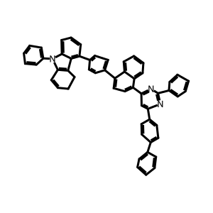 C1=Cc2c(c3c(-c4ccc(-c5ccc(-c6cc(-c7ccc(-c8ccccc8)cc7)nc(-c7ccccc7)n6)c6ccccc56)cc4)cccc3n2-c2ccccc2)CC1